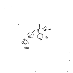 CC(C)(C)c1nc(C23CCC(CN(C(=O)C45CC(F)(C4)C5)c4ccnc(Br)c4)(CC2)CC3)no1